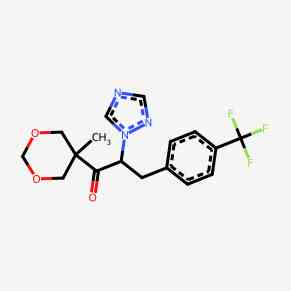 CC1(C(=O)C(Cc2ccc(C(F)(F)F)cc2)n2cncn2)COCOC1